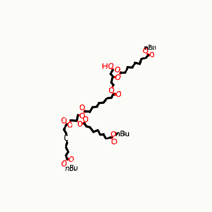 CCCCOC(=O)CCCCCCCC(=O)OCC(COC(=O)CCCCCCCC(=O)OCCC(CCO)OC(=O)CCCCCCCC(=O)OCCCC)OC(=O)CCCCCCCC(=O)OCCCC